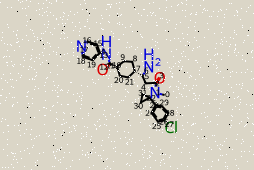 CN(C(=O)CC(N)[C@H]1CC[C@H](C(=O)Nc2ccncc2)CC1)C1(c2ccc(Cl)cc2)CC1